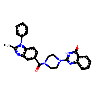 Cc1nc2cc(C(=O)N3CCN(c4nc5ccccc5c(=O)[nH]4)CC3)ccc2n1-c1ccccc1